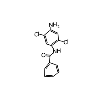 Nc1cc(Cl)c(NC(=O)c2ccccc2)cc1Cl